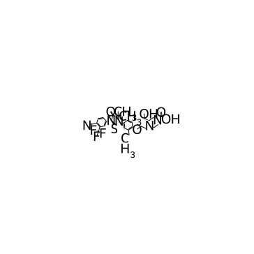 CCc1cc(N2C(=S)N(c3ccc(C#N)c(C(F)(F)F)c3)C(=O)C2(C)C)ccc1OCCN1CCN(C(=O)O)C[C@@H]1CO